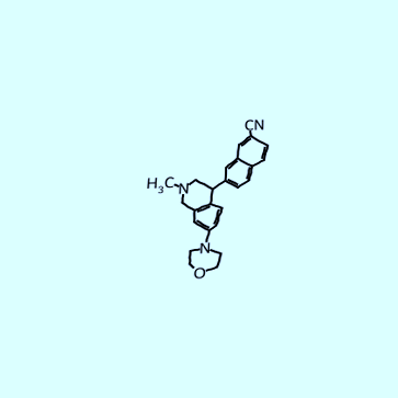 CN1Cc2cc(N3CCOCC3)ccc2C(c2ccc3ccc(C#N)cc3c2)C1